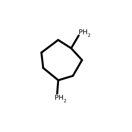 PC1CCCC(P)CC1